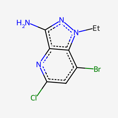 CCn1nc(N)c2nc(Cl)cc(Br)c21